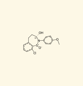 COc1ccc(N2[C@@H](O)CCc3cccc(Cl)c3[S+]2[O-])cc1